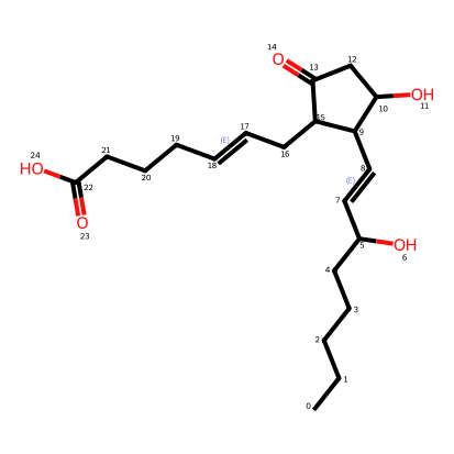 CCCCCC(O)/C=C/C1C(O)CC(=O)C1C/C=C/CCCC(=O)O